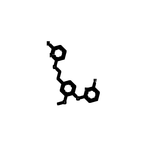 COc1cc(CCOc2cccc(F)n2)ccc1Oc1cccc(F)n1